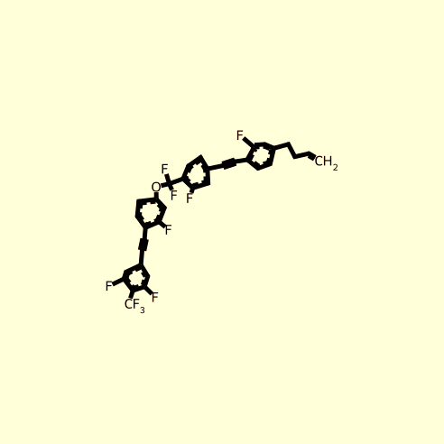 C=CCCc1ccc(C#Cc2ccc(C(F)(F)Oc3ccc(C#Cc4cc(F)c(C(F)(F)F)c(F)c4)c(F)c3)c(F)c2)c(F)c1